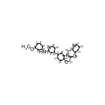 COc1cccc(Nc2cc(-c3ccc4c(c3)N(Cc3ccccn3)C(=O)CO4)ccn2)c1